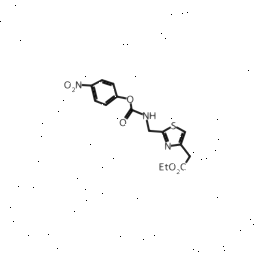 CCOC(=O)Cc1csc(CNC(=O)Oc2ccc([N+](=O)[O-])cc2)n1